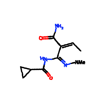 C/C=C(C(N)=O)\C(=N/NC)NC(=O)C1CC1